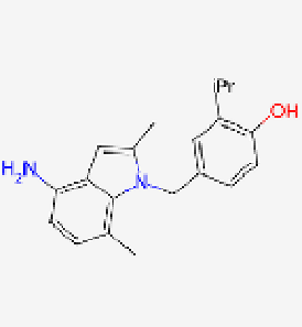 Cc1ccc(N)c2cc(C)n(Cc3ccc(O)c(C(C)C)c3)c12